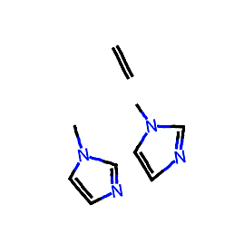 C=C.Cn1ccnc1.Cn1ccnc1